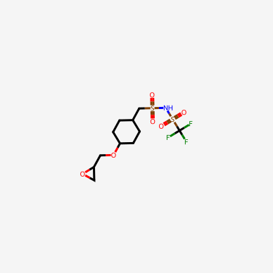 O=S(=O)(CC1CCC(OCC2CO2)CC1)NS(=O)(=O)C(F)(F)F